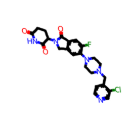 O=C1CCC(N2Cc3cc(N4CCN(Cc5ccncc5Cl)CC4)c(F)cc3C2=O)C(=O)N1